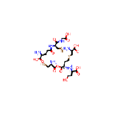 NC(CCC(=O)NC(CS)C(=O)NCC(=O)O)C(=O)O.NC(CSCC[C@H](N)C(=O)OC(=O)[C@@H](N)CS)C(=O)O.N[C@@H](CCO)C(=O)O